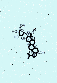 C=C(C)[C@@H]1CC[C@]2(CO)CC[C@]3(C)[C@H](CC[C@@H]4[C@@]5(C)CCC(O[C@@H]6O[C@H](CO)[C@@H](O)[C@H](O)[C@H]6O)C(C)(C(=O)OCC)[C@@H]5CC[C@]43C)[C@@H]12